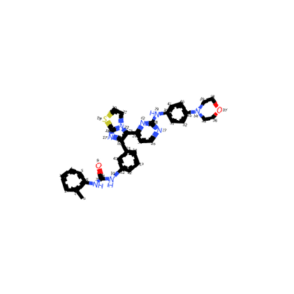 Cc1ccccc1NC(=O)Nc1cccc(-c2nc3sccn3c2-c2ccnc(Nc3ccc(N4CCOCC4)cc3)n2)c1